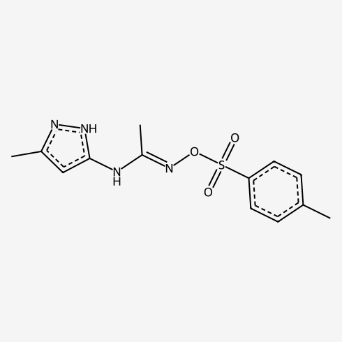 C/C(=N\OS(=O)(=O)c1ccc(C)cc1)Nc1cc(C)n[nH]1